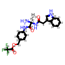 C[C@](N)(NC(=O)Cc1c[nH]c2ccccc12)C(=O)Nc1ccc(COC(=O)C(F)(F)F)cc1